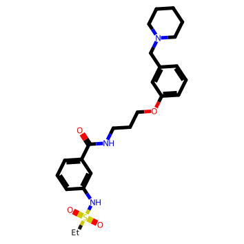 CCS(=O)(=O)Nc1cccc(C(=O)NCCCOc2cccc(CN3CCCCC3)c2)c1